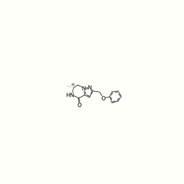 C[C@@H]1Cn2nc(COc3ccccc3)cc2C(=O)N1